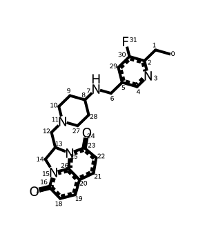 CCc1ncc(CNC2CCN(CC3Cn4c(=O)ccc5ccc(=O)n3c54)CC2)cc1F